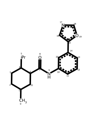 CC1CCC(C(C)C)C(C(=O)Nc2cccc(-c3cnco3)c2)C1